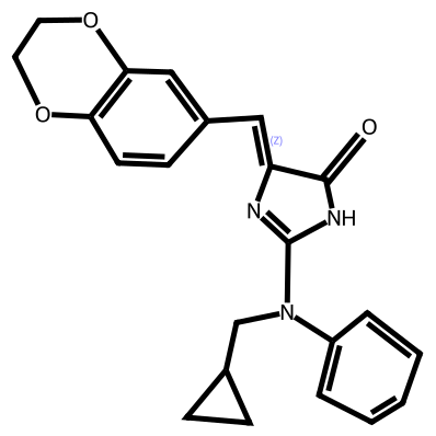 O=C1NC(N(CC2CC2)c2ccccc2)=N/C1=C\c1ccc2c(c1)OCCO2